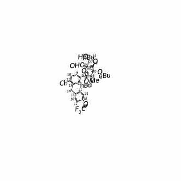 CCCCO[C@@H]1[C@@H](OCCCC)[C@](OC)(c2ccc(Cl)c(Cc3ccc(OC(F)(F)F)cc3)c2)O[C@](C=O)(CO)[C@H]1OCCCC